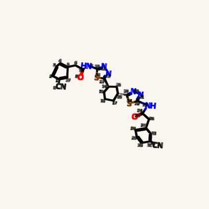 N#Cc1cccc(CC(=O)Nc2nnc([C@@H]3CCC[C@@H](c4nnc(NC(=O)Cc5cccc(C#N)c5)s4)C3)s2)c1